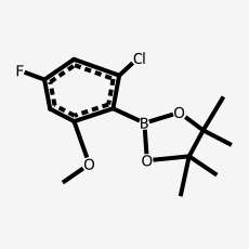 COc1cc(F)cc(Cl)c1B1OC(C)(C)C(C)(C)O1